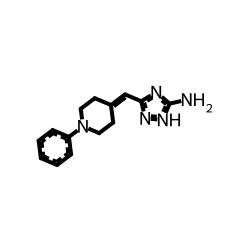 Nc1nc(C=C2CCN(c3ccccc3)CC2)n[nH]1